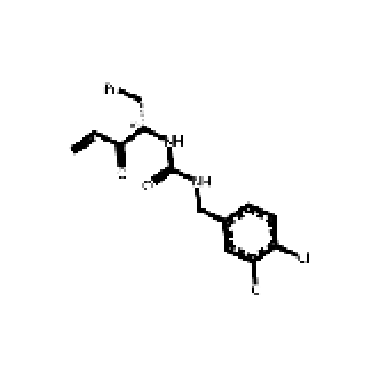 C=CC(=O)[C@H](CC(C)C)NC(=O)NCc1ccc(Cl)c(Cl)c1